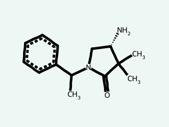 CC(c1ccccc1)N1C[C@H](N)C(C)(C)C1=O